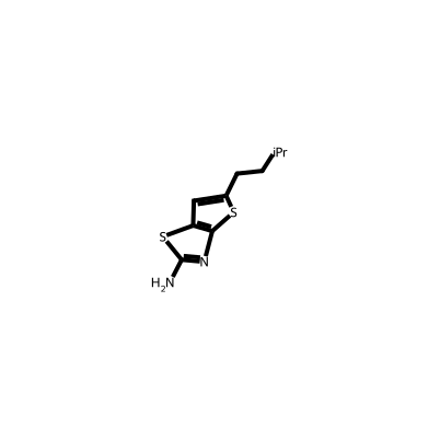 CC(C)CCc1cc2sc(N)nc2s1